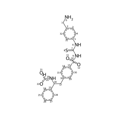 NCc1ccc(NC(=S)NS(=O)(=O)c2ccc(CC(N[SH](=O)=O)c3ccccc3)cc2)cc1